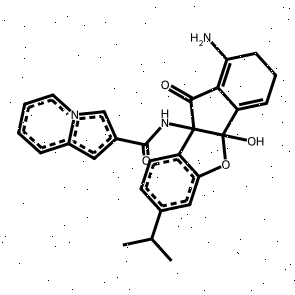 CC(C)c1ccc2c(c1)OC1(O)C3=CCCC(N)=C3C(=O)C21NC(=O)c1cc2ccccn2c1